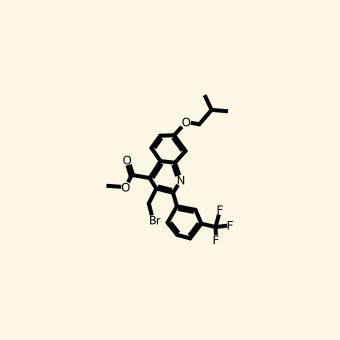 COC(=O)c1c(CBr)c(-c2cccc(C(F)(F)F)c2)nc2cc(OCC(C)C)ccc12